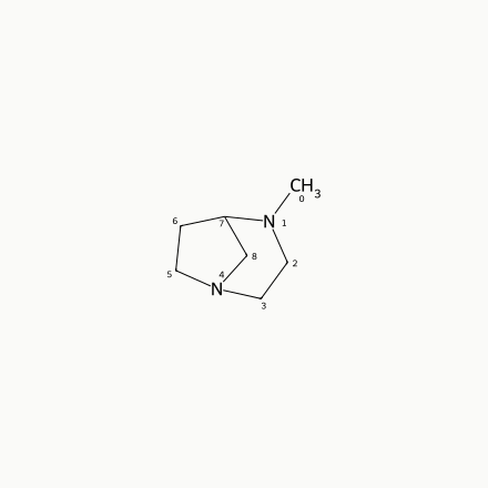 CN1CCN2CCC1C2